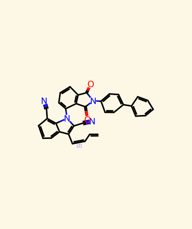 C=C/C=C\c1c(C#N)n(-c2cccc3c2C(=O)N(c2ccc(-c4ccccc4)cc2)C3=O)c2c(C#N)cccc12